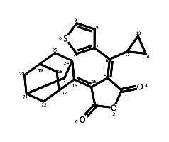 O=C1OC(=O)/C(=C(/c2ccsc2)C2CC2)C1=C1C2CC3CC(C2)CC1C3